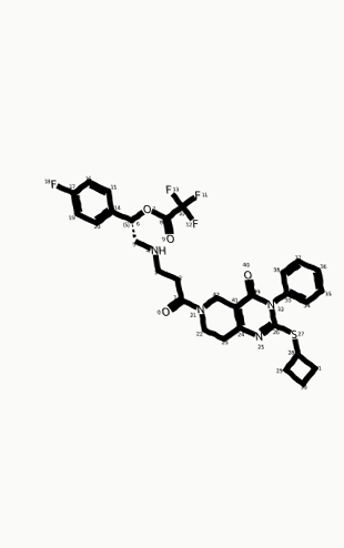 O=C(CCNC[C@@H](OC(=O)C(F)(F)F)c1ccc(F)cc1)N1CCc2nc(SC3CCC3)n(-c3ccccc3)c(=O)c2C1